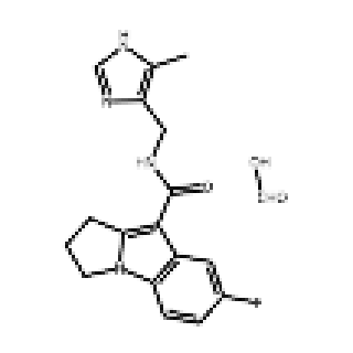 Cc1[nH]cnc1CNC(=O)c1c2n(c3ccc(F)cc13)CCC2.O=CO